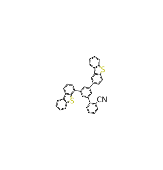 N#Cc1ccccc1-c1cc(-c2ccc3sc4ccccc4c3c2)cc(-c2cccc3c2sc2ccccc23)c1